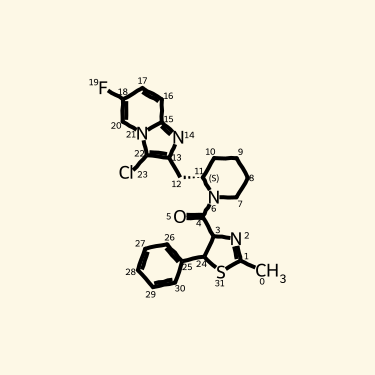 CC1=NC(C(=O)N2CCCC[C@H]2Cc2nc3ccc(F)cn3c2Cl)C(c2ccccc2)S1